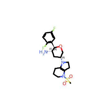 CS(=O)(=O)N1CCCC2=C1CCN2[C@H]1CO[C@H](c2cc(F)ccc2F)[C@@H](N)C1